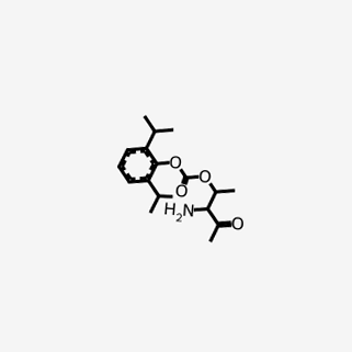 CC(=O)C(N)C(C)OC(=O)Oc1c(C(C)C)cccc1C(C)C